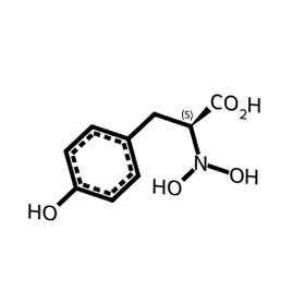 O=C(O)[C@H](Cc1ccc(O)cc1)N(O)O